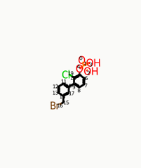 O=P(O)(O)Oc1cccc(-c2cccc(CBr)c2)c1Cl